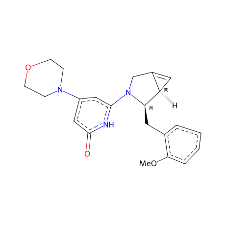 COc1ccccc1C[C@@H]1[C@@H]2C=C2CN1c1cc(N2CCOCC2)cc(=O)[nH]1